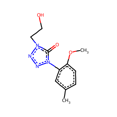 COc1ccc(C)cc1-n1nnn(CCO)c1=O